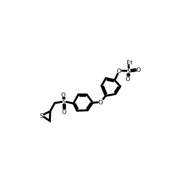 CCS(=O)(=O)Oc1ccc(Oc2ccc(S(=O)(=O)CC3CS3)cc2)cc1